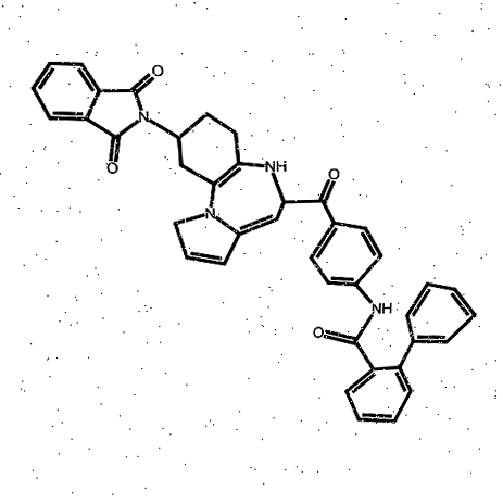 O=C(Nc1ccc(C(=O)C2C=C3C=CCN3C3=C(CCC(N4C(=O)c5ccccc5C4=O)C3)N2)cc1)c1ccccc1-c1ccccc1